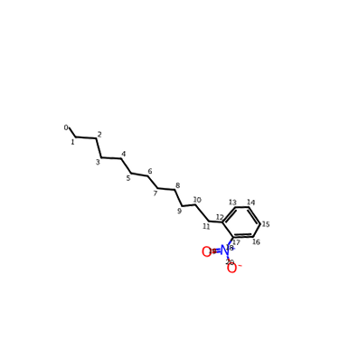 CCCCCCCCCCCCc1ccccc1[N+](=O)[O-]